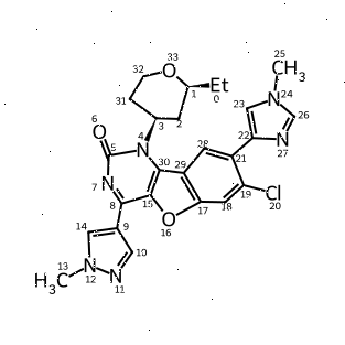 CC[C@H]1C[C@@H](n2c(=O)nc(-c3cnn(C)c3)c3oc4cc(Cl)c(-c5cn(C)cn5)cc4c32)CCO1